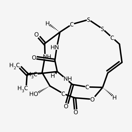 C=C(C)[C@H]1NC(=O)[C@H]2CSSCC/C=C/[C@H](CC(=O)N[C@H](C)C(=O)N2)OC(=O)C[C@@H]1O